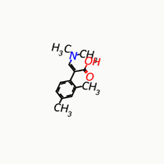 Cc1ccc(C(=CN(C)C)C(=O)O)c(C)c1